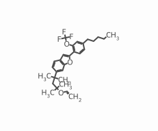 C=COC(C)(C)CC(C)(C)c1ccc2cc(-c3ccc(CCCCC)cc3OC(F)(F)F)oc2c1